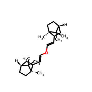 CC1(C)[C@@H]2CC[C@]1(C)C(C=COC=CC1C[C@H]3CC[C@@]1(C)C3(C)C)C2